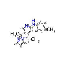 CCC[N+]1(C(C)c2ccc(Nc3ccc(C)cc3)nc2)C=CC=N1